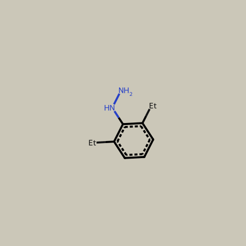 CCc1cccc(CC)c1NN